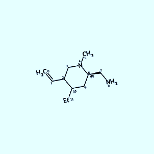 C=CC1CN(C)[C@@H](CN)CC1CC